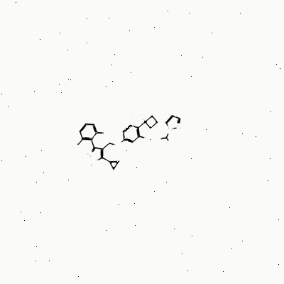 CC(C)n1nccc1[C@H]1C[C@@](O)(c2ccc(OCc3c(-c4c(Cl)cccc4Cl)noc3C3CC3)cc2Cl)C1